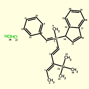 CC=C(C=[CH][Zr]([CH3])(=[CH]c1ccccc1)[CH]1C=Cc2ccccc21)[Si](C)(C)C.Cl.Cl